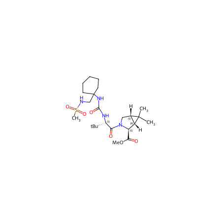 COC(=O)[C@@H]1[C@@H]2[C@H](CN1C(=O)[C@@H](NC(=O)NC1(CNS(C)(=O)=O)CCCCC1)C(C)(C)C)C2(C)C